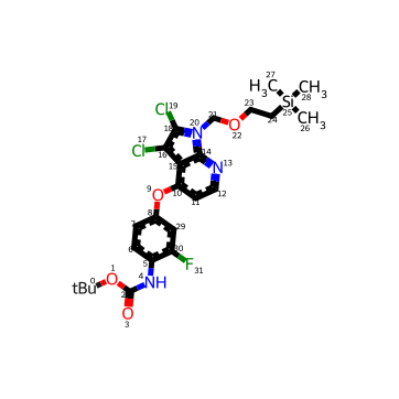 CC(C)(C)OC(=O)Nc1ccc(Oc2ccnc3c2c(Cl)c(Cl)n3COCC[Si](C)(C)C)cc1F